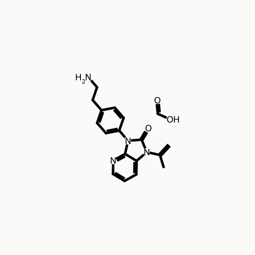 C=C(C)n1c(=O)n(-c2ccc(CCN)cc2)c2ncccc21.O=CO